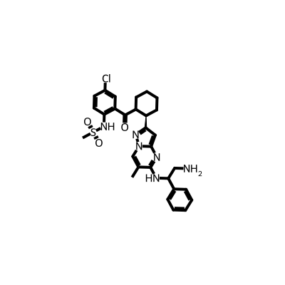 Cc1cn2nc([C@@H]3CCCCC3C(=O)c3cc(Cl)ccc3NS(C)(=O)=O)cc2nc1NC(CN)c1ccccc1